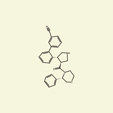 N#Cc1cccc(-c2ccccc2[C@@H]2CNC[C@H]2C(=O)N2CCOC[C@@H]2c2ccccc2)c1